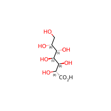 O=C(O)[C@H](O)[C@H](O)[C@@H](O)[C@@H](O)[C@H](O)CO